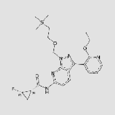 CCOc1ncccc1-c1nn(COCC[Si](C)(C)C)c2nc(NC(=O)[C@@H]3C[C@@H]3F)ccc12